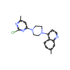 Cc1ccc2c(N3CCN(c4cc(C)nc(Cl)n4)CC3)ccnc2c1